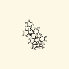 c1ccc(N2c3ccccc3B3c4cccc5c4N(c4ccccc4[Si]54c5ccccc5-c5ccccc54)c4cccc2c43)cc1